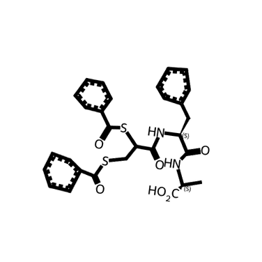 C[C@H](NC(=O)[C@H](Cc1ccccc1)NC(=O)C(CSC(=O)c1ccccc1)SC(=O)c1ccccc1)C(=O)O